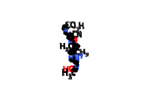 Cc1c(Nc2nccc3cc(CN4CCC(C)(O)C4)cnc23)cccc1-c1cccc(-c2nc3cc(CN4CCC(C(=O)O)C4)cc(C#N)c3o2)c1C